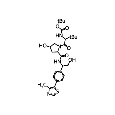 Cc1ncsc1-c1ccc([C@H](CO)NC(=O)C2C[C@@H](O)CN2C(=O)[C@@H](NC(=O)OC(C)(C)C)C(C)(C)C)cc1